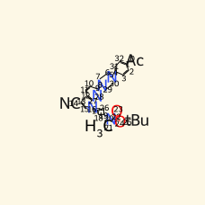 CC(=O)c1ccc(N2CCN(c3ccc4c(C#N)cn([C@H]5C[C@H](N(C)C(=O)OC(C)(C)C)C5)c4n3)CC2)cc1